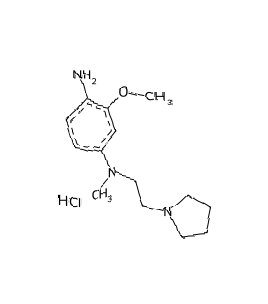 COc1cc(N(C)CCN2CCCC2)ccc1N.Cl